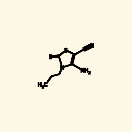 CCCn1c(N)c(C#N)sc1=S